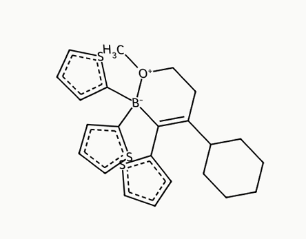 C[O+]1CCC(C2CCCCC2)=C(c2cccs2)[B-]1(c1cccs1)c1cccs1